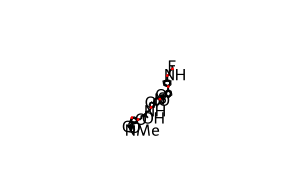 CNS(=O)(=O)c1cccc(OCC(O)CNC2COC3(CCN(S(=O)(=O)c4cccc(-c5ccc(CNCCF)cc5)c4)CC3)C2)c1